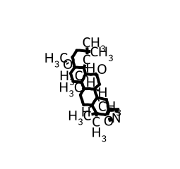 CO[C@]12CCC(C)(C)C[C@H]1[C@H]1C(=O)C[C@@H]3[C@@]4(C)Cc5cnoc5C(C)(C)[C@@H]4CC[C@@]3(C)[C@]1(C)CC2